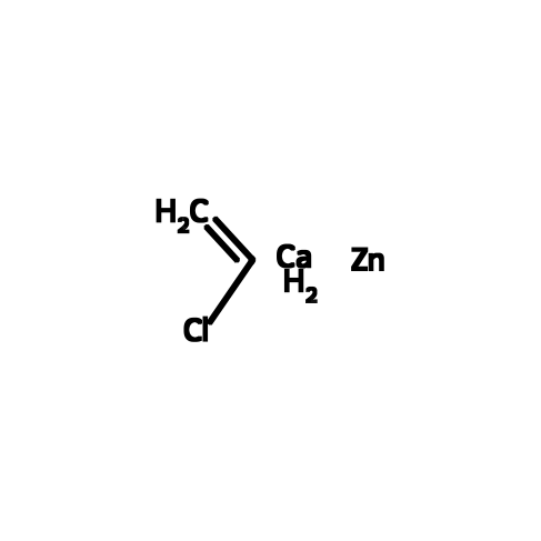 C=CCl.[CaH2].[Zn]